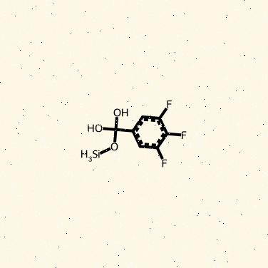 OC(O)(O[SiH3])c1cc(F)c(F)c(F)c1